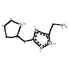 NCc1nc(CC2CCCO2)no1